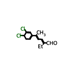 CC/C(C=O)=C\C=C(/C)C1=CCC(Cl)C(Cl)=C1